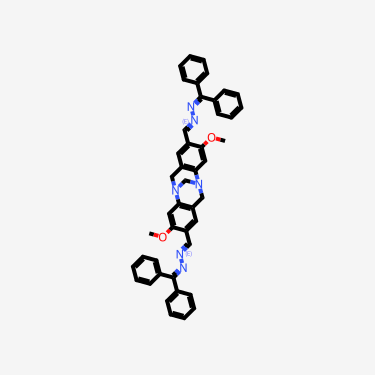 COc1cc2c(cc1/C=N/N=C(c1ccccc1)c1ccccc1)CN1CN2Cc2cc(/C=N/N=C(c3ccccc3)c3ccccc3)c(OC)cc21